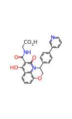 O=C(O)CNC(=O)c1c(O)c2cccc3c2n(c1=O)C(c1ccc(-c2cccnc2)cc1)CO3